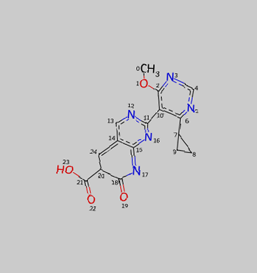 COc1ncnc(C2CC2)c1-c1ncc2c(n1)=NC(=O)C(C(=O)O)C=2